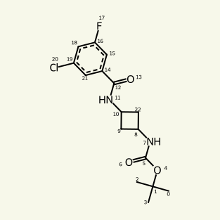 CC(C)(C)OC(=O)NC1CC(NC(=O)c2cc(F)cc(Cl)c2)C1